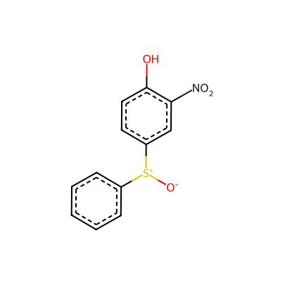 O=[N+]([O-])c1cc([S+]([O-])c2ccccc2)ccc1O